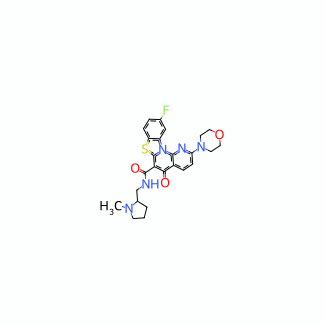 CN1CCCC1CNC(=O)c1c(=O)c2ccc(N3CCOCC3)nc2n2c1sc1ccc(F)cc12